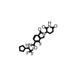 O=C1CCC(N2Cc3c(ccc(C(=O)N[C@H](C4CCCC4)C(F)(F)F)c3F)C2=O)C(=O)N1